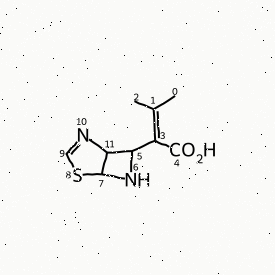 CC(C)=C(C(=O)O)C1NC2SC=NC21